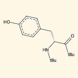 CC(C)(C)N[C@H](Cc1ccc(O)cc1)C(=O)C(C)(C)C